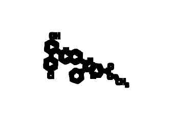 CCOC(=O)c1cnc2c(c1)nc(-c1ccc3nc(-c4cc(O)ccc4-c4ccc(Cl)cc4)ccc3c1)n2C1CCCCC1